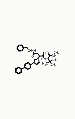 CNC(=O)[C@@H](NC(=O)C(CC(=O)NOCc1ccccc1)N1C=CN(c2ccc(-c3ccccc3)cc2)C1)C(C)(C)C